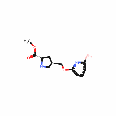 Bc1cccc(OC[C@H]2CN[C@H](C(=O)OC)C2)n1